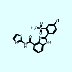 CS(=O)(=O)c1cc(Cl)ccc1-c1nc2c(C(=O)Nc3nccs3)cccc2[nH]1